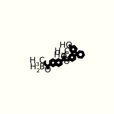 BC(CC)C(=O)c1ccc2cc(C(=O)Oc3ccc(C4(c5ccc(O)c(C)c5)CCCCC4)cc3C)ccc2c1